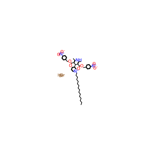 Br.CCCCCCCCCCCCCCCC[n+]1cccc(C2C(C(=O)OCc3ccc([N+](=O)[O-])cc3)=C(C)NC(C)=C2C(=O)OCc2ccc([N+](=O)[O-])cc2)c1.[Br-]